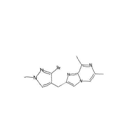 Cc1cn2cc(Cc3cn(C)nc3Br)nc2c(C)n1